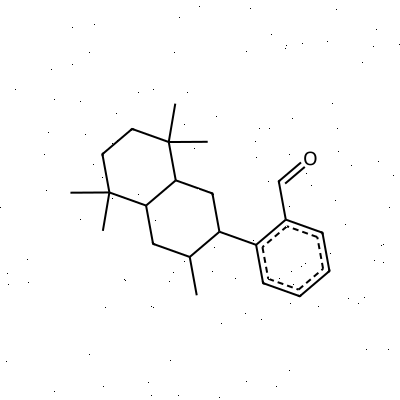 CC1CC2C(CC1c1ccccc1C=O)C(C)(C)CCC2(C)C